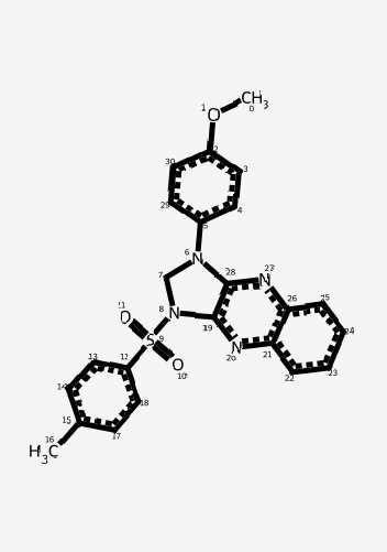 COc1ccc(N2CN(S(=O)(=O)c3ccc(C)cc3)c3nc4ccccc4nc32)cc1